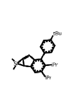 CC(C)c1cc2c(c(-c3ccc(C(C)(C)C)cc3)c1C(C)C)[C]=C1C2[Si]1(C)C